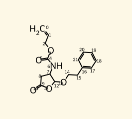 C=CCOC(=O)NC1CC(=O)OC1OCCc1ccccc1